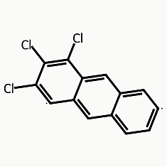 Clc1[c]c2cc3cc[c]cc3cc2c(Cl)c1Cl